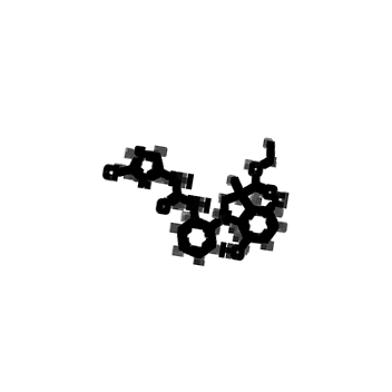 CCOC(=O)C1(C)CN(c2ccccc2NC(=O)Nc2csc(Cl)n2)c2c(O)ccc(Cl)c21